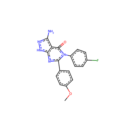 COc1ccc(-c2nc3[nH]nc(N)c3c(=O)n2-c2ccc(F)cc2)cc1